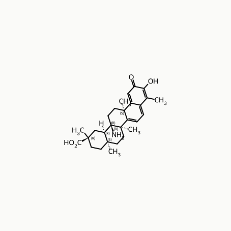 CC1=C(O)C(=O)C=C2C1=CC=C1[C@@]2(C)CC[C@@]2(N)[C@@H]3C[C@](C)(C(=O)O)CC[C@]3(C)CC[C@]12C